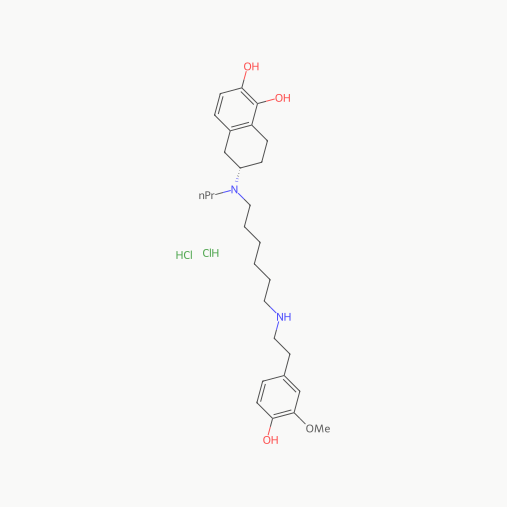 CCCN(CCCCCCNCCc1ccc(O)c(OC)c1)[C@H]1CCc2c(ccc(O)c2O)C1.Cl.Cl